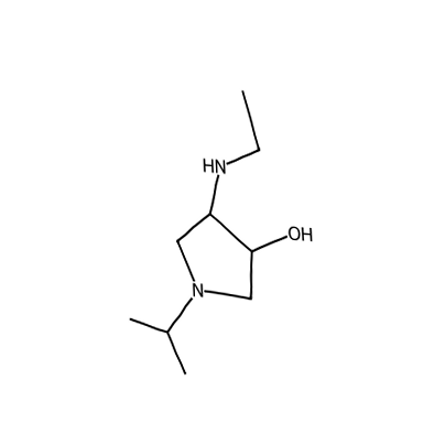 CCNC1CN(C(C)C)CC1O